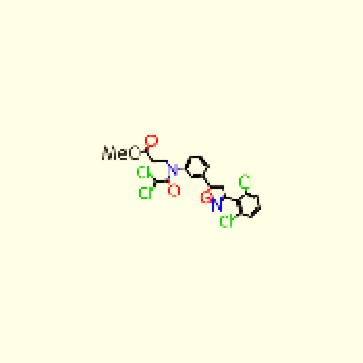 COC(=O)CCN(C(=O)C(Cl)Cl)c1cccc(-c2cc(-c3c(Cl)cccc3Cl)no2)c1